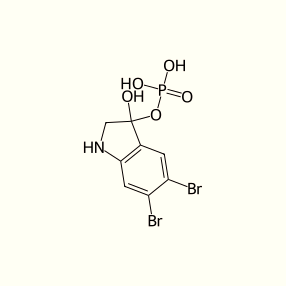 O=P(O)(O)OC1(O)CNc2cc(Br)c(Br)cc21